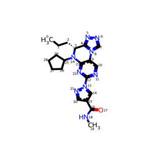 CCC[C@@H]1c2nncn2-c2cnc(-n3cc(C(=O)NC)cn3)nc2N1C1CCCC1